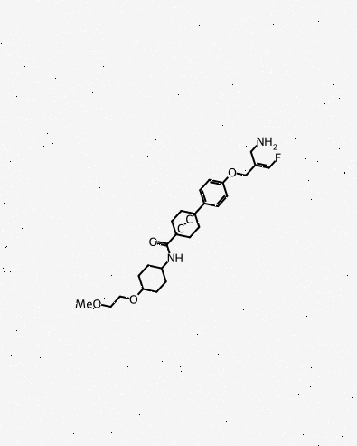 COCCOC1CCC(NC(=O)C23CCC(c4ccc(OC/C(=C/F)CN)cc4)(CC2)CC3)CC1